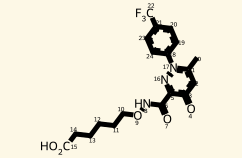 Cc1cc(=O)c(C(=O)NOCCCCCC(=O)O)nn1-c1ccc(C(F)(F)F)cc1